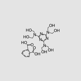 O=C(O)c1ccccc1C(=O)O.OCN(CO)c1nc(N(CO)CO)nc(N(CO)CO)n1